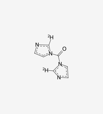 [2H]c1nccn1C(=O)n1ccnc1[2H]